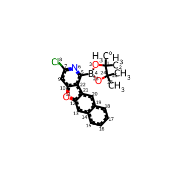 CC1(C)OB(c2nc(Cl)cc3oc4cc5ccccc5cc4c23)OC1(C)C